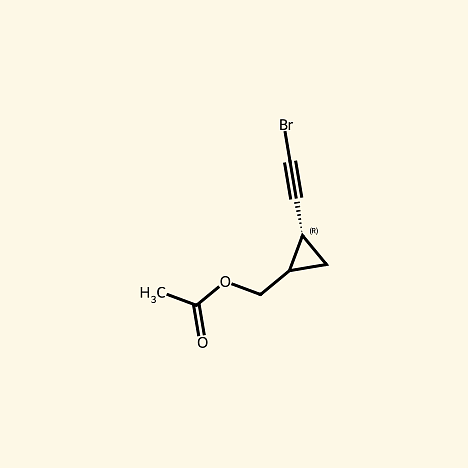 CC(=O)OCC1C[C@H]1C#CBr